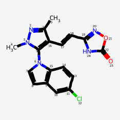 Cc1nn(C)c(-n2ccc3cc(Cl)ccc32)c1C=Cc1noc(=O)[nH]1